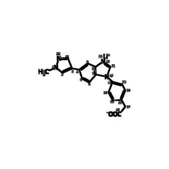 Cn1cc(-c2ccc3c(c2)ncn3-c2ccc(CC(=O)[O-])cc2)cn1.[Li+]